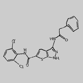 O=C(Cc1ccccc1)Nc1n[nH]c2sc(C(=O)Nc3c(Cl)cccc3Cl)cc12